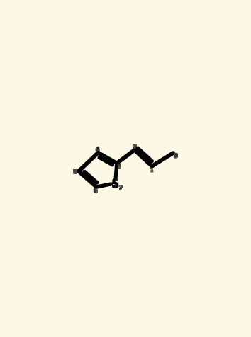 CC=Cc1cccs1